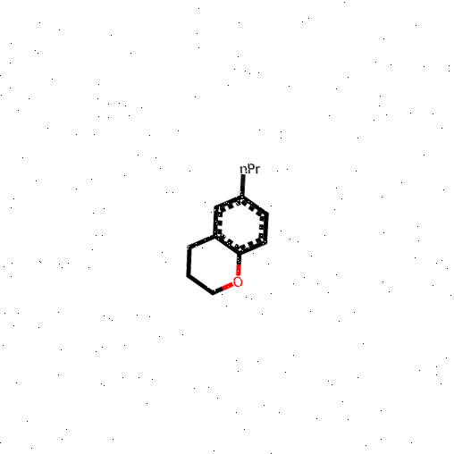 CCCc1ccc2c(c1)CCCO2